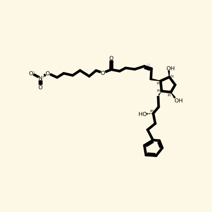 O=C(CCC/C=C\C[C@@H]1[C@@H](CC[C@@H](O)CCc2ccccc2)[C@H](O)C[C@@H]1O)OCCCCCCO[N+](=O)[O-]